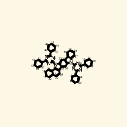 c1ccc(-c2nc(-c3ccccc3)nc(-n3c4ccccc4c4cc5c(cc43)c3ccc4ccccc4c3n5-c3nc(-c4ccccc4)nc(-c4ccccc4)n3)n2)cc1